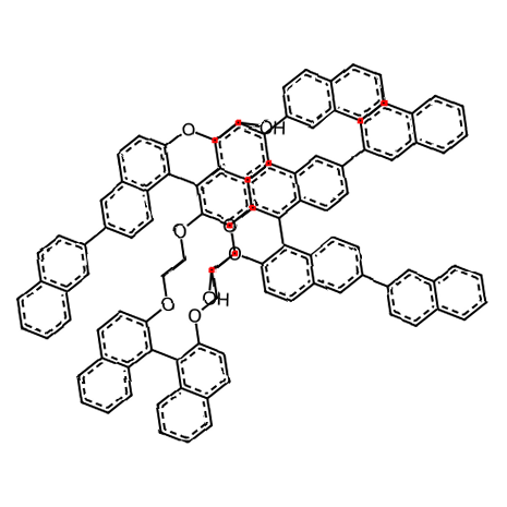 OCCOc1ccc2cc(-c3ccc4ccccc4c3)ccc2c1-c1c(OCCOc2ccc3ccccc3c2-c2c(OCCOc3ccc4cc(-c5ccc6ccccc6c5)ccc4c3-c3c(OCCO)ccc4cc(-c5ccc6ccccc6c5)ccc34)ccc3ccccc23)ccc2cc(-c3ccc4ccccc4c3)ccc12